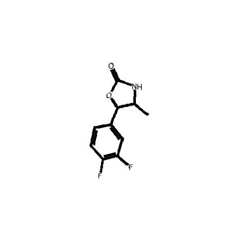 CC1NC(=O)OC1c1ccc(F)c(F)c1